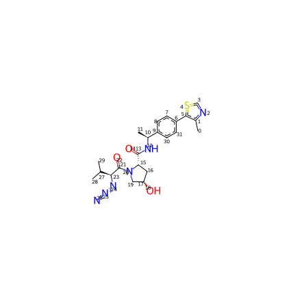 Cc1ncsc1-c1ccc([C@H](C)NC(=O)[C@@H]2C[C@@H](O)CN2C(=O)[C@@H](N=[N+]=[N-])C(C)C)cc1